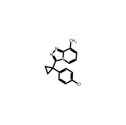 Cc1cccn2c(C3(c4ccc(Cl)cc4)CC3)nnc12